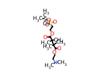 CN(C)CCOC(=O)C(C)(C)C(C)(C)C(=O)OCCS(=O)(=O)O[Si](C)(C)C